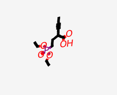 CC#CC(CCP(=O)(OCC)OCC)C(=O)O